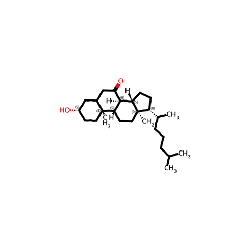 CC(C)CCCC(C)[C@H]1CC[C@H]2[C@@H]3C(=O)CC4C[C@@H](O)CC[C@]4(C)[C@H]3CC[C@]12C